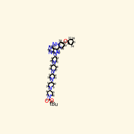 CC(C)(C)OC(=O)N1CCC(N2CCC(N3CCC(N4CCC(N5CCC(n6nc(-c7ccc(Oc8ccccc8)cc7)c7c(N)ncnc76)CC5)CC4)CC3)CC2)CC1